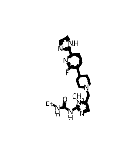 CCNC(=O)Nc1ncc(CN2CCC(c3ccc(-c4ncc[nH]4)nc3F)CC2)n1C